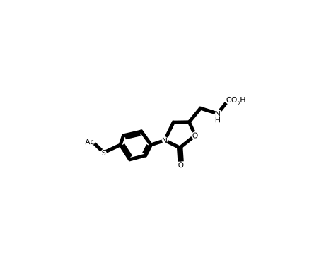 CC(=O)Sc1ccc(N2CC(CNC(=O)O)OC2=O)cc1